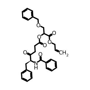 C=CCOC(=O)C(COCc1ccccc1)OC(=O)CCC(=O)[C@H](Cc1ccccc1)NC(=O)c1ccccc1